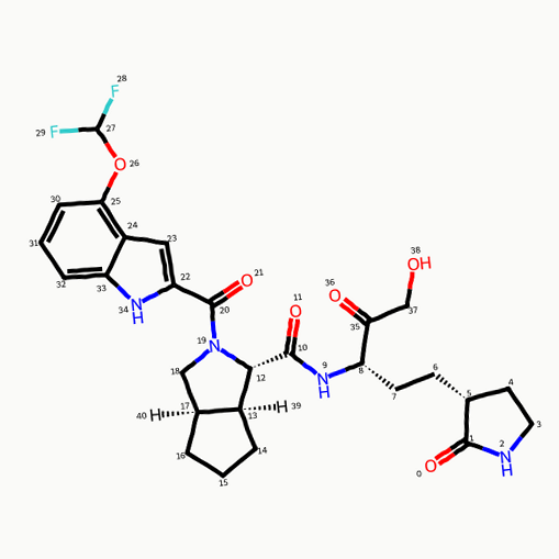 O=C1NCC[C@H]1CC[C@H](NC(=O)[C@@H]1[C@H]2CCC[C@H]2CN1C(=O)c1cc2c(OC(F)F)cccc2[nH]1)C(=O)CO